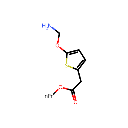 CCCOC(=O)Cc1ccc(OCN)s1